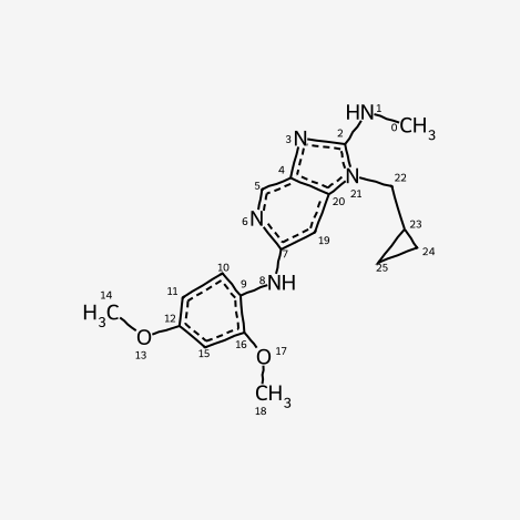 CNc1nc2cnc(Nc3ccc(OC)cc3OC)cc2n1CC1CC1